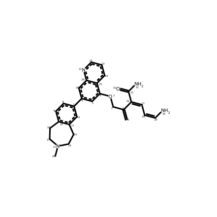 C=C(COc1cc(-c2ccc3c(c2)CCN(C)CC3)cc2ncccc12)/C(=C\C=C/N)C(N)=O